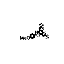 COc1ccc(-c2nc3c4cc(S(C)(C)C)sc4c4sc(S(C)(C)C)cc4c3o2)cc1